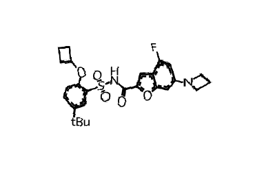 CC(C)(C)c1ccc(OC2CCC2)c(S(=O)(=O)NC(=O)c2cc3c(F)cc(N4CCC4)cc3o2)c1